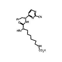 CCCCN(CCCCCCNC(=O)O)C(=O)NN(CC(C)C)c1ccnc(C#N)n1